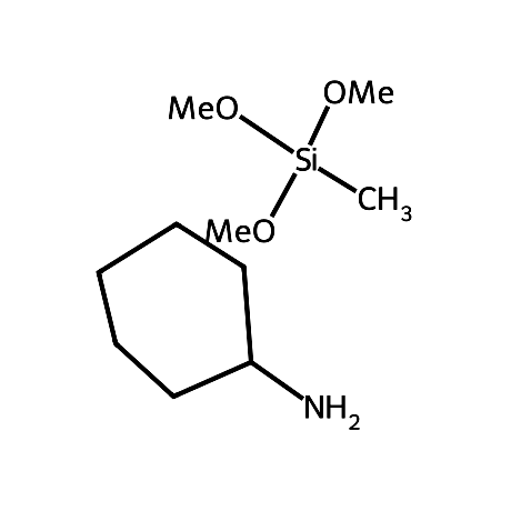 CO[Si](C)(OC)OC.NC1CCCCC1